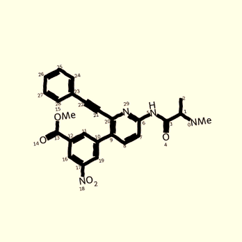 CNC(C)C(=O)Nc1ccc(-c2cc(C(=O)OC)cc([N+](=O)[O-])c2)c(C#Cc2ccccc2)n1